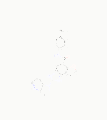 Cc1ccc(NC2Nc3cc(C(=O)Nc4ccc(C(F)(F)F)cc4)c4c(c3N2)CC(C)(C)O4)c(C)n1